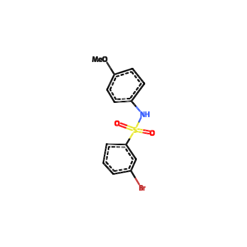 COc1ccc(NS(=O)(=O)c2cccc(Br)c2)cc1